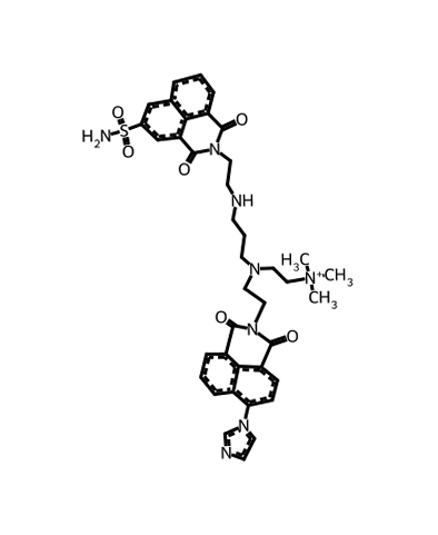 C[N+](C)(C)CCN(CCCNCCN1C(=O)c2cccc3cc(S(N)(=O)=O)cc(c23)C1=O)CCN1C(=O)c2cccc3c(-n4ccnc4)ccc(c23)C1=O